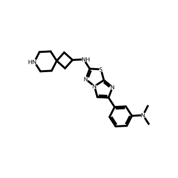 CN(C)c1cccc(-c2cn3nc(NC4CC5(CCNCC5)C4)sc3n2)c1